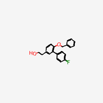 OCCc1ccc(OCc2ccccc2)c(-c2ccc(F)cc2)c1